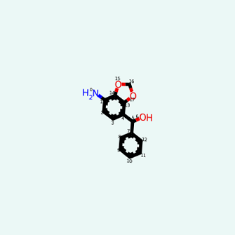 Nc1ccc(C(O)c2ccccc2)c2c1OCO2